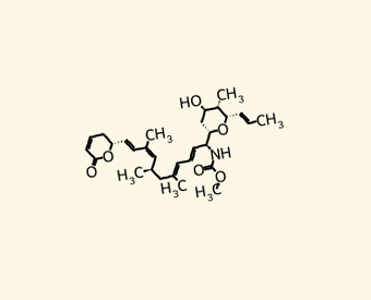 C/C=C/[C@@H]1O[C@H]([C@H](/C=C/C=C(\C)C[C@@H](C)/C=C(C)\C=C\[C@H]2CC=CC(=O)O2)NC(=O)OC)C[C@@H](O)[C@@H]1C